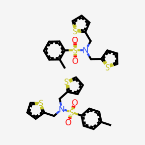 Cc1ccc(S(=O)(=O)N(Cc2cccs2)Cc2cccs2)cc1.Cc1ccccc1S(=O)(=O)N(Cc1cccs1)Cc1cccs1